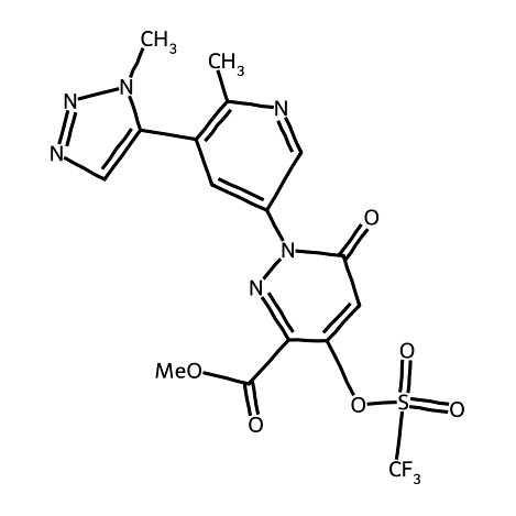 COC(=O)c1nn(-c2cnc(C)c(-c3cnnn3C)c2)c(=O)cc1OS(=O)(=O)C(F)(F)F